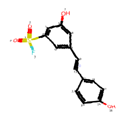 O=S(=O)(F)c1cc(O)cc(/C=C/c2ccc(O)cc2)c1